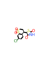 O=C1NC(=O)/C(=C2/C=CS(=O)(=O)c3cc(Cl)ccc32)S1